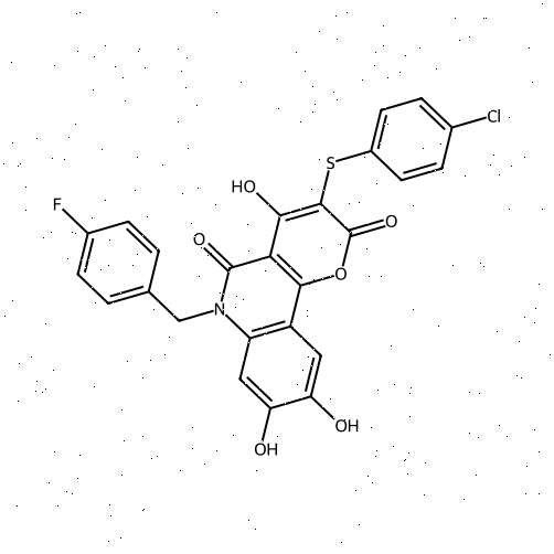 O=c1oc2c(c(O)c1Sc1ccc(Cl)cc1)c(=O)n(Cc1ccc(F)cc1)c1cc(O)c(O)cc21